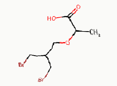 CC(OCC(CBr)CBr)C(=O)O